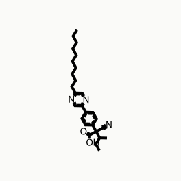 CCCCCCCCCCc1cnc(-c2ccc(C(C#N)(C(=O)O)C(C)CC)cc2)cn1